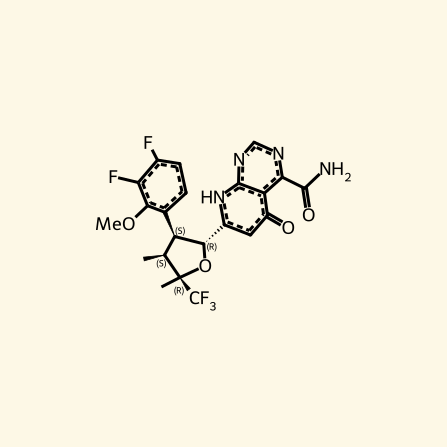 COc1c([C@H]2[C@H](c3cc(=O)c4c(C(N)=O)ncnc4[nH]3)O[C@@](C)(C(F)(F)F)[C@H]2C)ccc(F)c1F